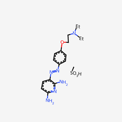 CCN(CC)CCOc1ccc(N=Nc2ccc(N)nc2N)cc1.CS(=O)(=O)O